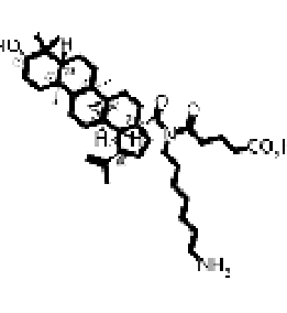 C=C(C)[C@@H]1CC[C@]2(C(=O)N(CCCCCCCN)C(=O)CCCC(=O)O)CC[C@]3(C)[C@H](CCC4[C@@]5(C)CC[C@H](O)C(C)(C)[C@@H]5CC[C@]43C)[C@@H]12